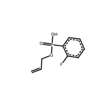 C=CCOP(=O)(O)c1ccccc1F